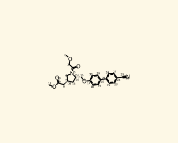 COCC(=O)N1C[C@H](CC(=O)OC)C[C@H]1COc1ccc(-c2ccc(C#N)cc2)cc1